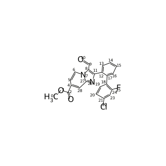 COC(=O)c1ccn2c(C=O)c(-c3ccccc3-c3ccc(Cl)cc3F)nc2c1